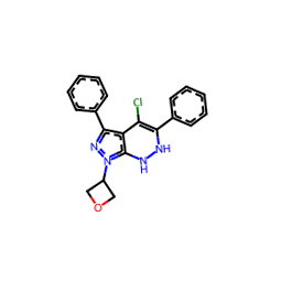 ClC1=C(c2ccccc2)NNc2c1c(-c1ccccc1)nn2C1COC1